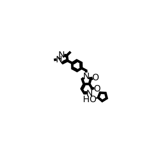 Cc1nn(C)cc1-c1ccc(CN2CC3=CC=NC(O[C@@H]4CCC[C@H]4O)C3C2=O)cc1